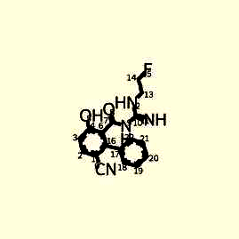 N#Cc1ccc(O)c(C(=O)NC(=N)NCCF)c1-c1ccccc1